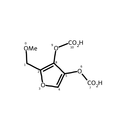 COCc1occ(OC(=O)O)c1OC(=O)O